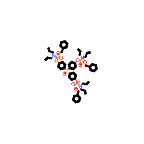 C=CCN(CC=C)P(=O)(OCc1ccccc1)Oc1ccc(P(=O)(c2ccc(OP(=O)(OCc3ccccc3)N(CC=C)CC=C)cc2)c2ccc(OP(=O)(OCc3ccccc3)N(CC=C)CC=C)cc2)cc1